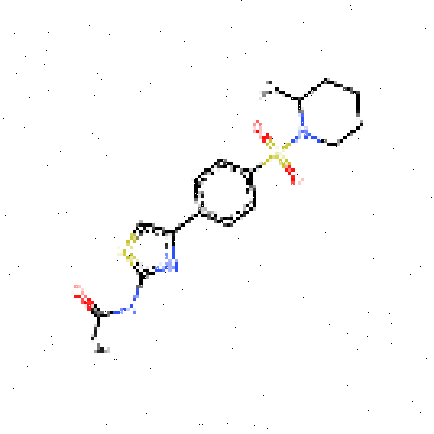 CCC(C)C(=O)Nc1nc(-c2ccc(S(=O)(=O)N3CCCCC3C)cc2)cs1